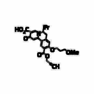 C#CCOC(=O)c1cc2c(cc1OCCCOC)CC(C(C)C)n1cc(C(=O)O)c(=O)cc1-2